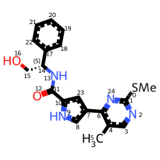 CSc1ncc(C)c(-c2c[nH]c(C(=O)N[C@H](CO)c3ccccc3)c2)n1